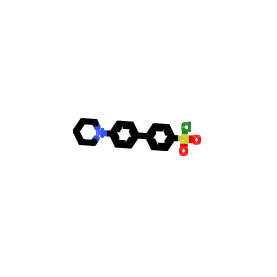 O=S(=O)(Cl)c1ccc(-c2ccc(N3CCCCC3)cc2)cc1